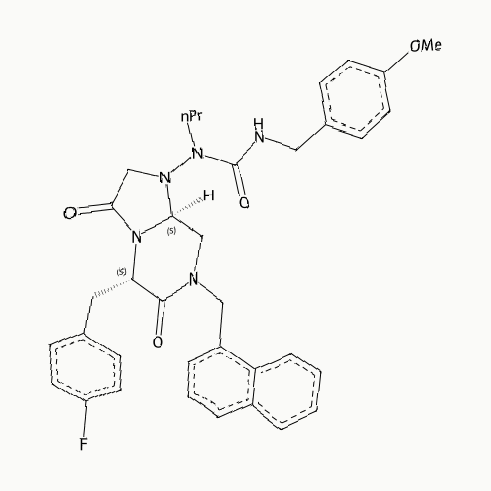 CCCN(C(=O)NCc1ccc(OC)cc1)N1CC(=O)N2[C@@H](Cc3ccc(F)cc3)C(=O)N(Cc3cccc4ccccc34)C[C@@H]21